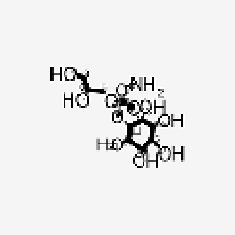 NOP(=O)(OC[C@@H](O)CO)O[C@@H]1[C@H](O)[C@H](O)[C@@H](O)[C@H](O)[C@H]1O